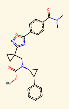 CN(C)C(=O)c1ccc(-c2nc(C3(CN(C(=O)OC(C)(C)C)[C@H]4C[C@@H]4c4ccccc4)CC3)no2)cc1